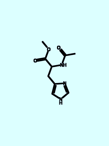 COC(=O)C(Cc1c[nH]cn1)NC(C)=O